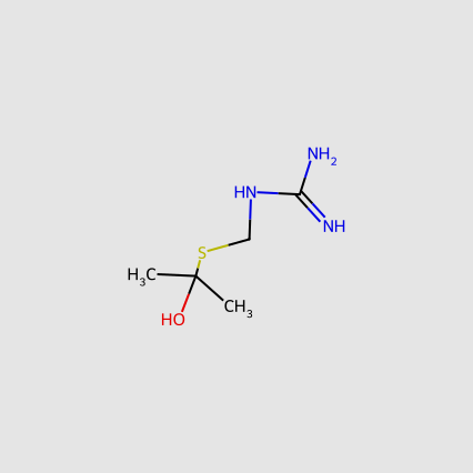 CC(C)(O)SCNC(=N)N